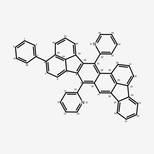 c1ccc(-c2ccc3c4c(-c5ccccn5)c5cc6c7ccccc7c7cccc(c5c(-c5ccccn5)c4c4cccc2c34)c76)cc1